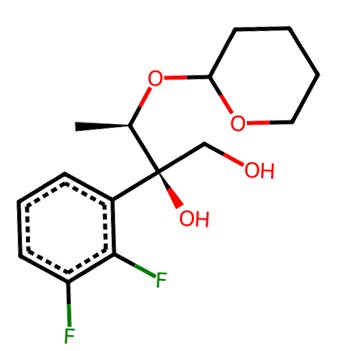 C[C@@H](OC1CCCCO1)[C@](O)(CO)c1cccc(F)c1F